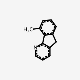 Cc1cccc2c1-c1ncccc1C2